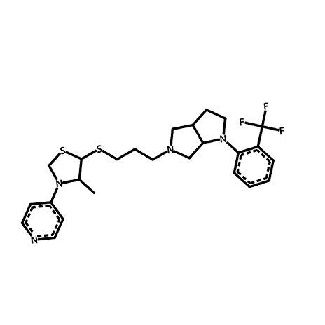 CC1C(SCCCN2CC3CCN(c4ccccc4C(F)(F)F)C3C2)SCN1c1ccncc1